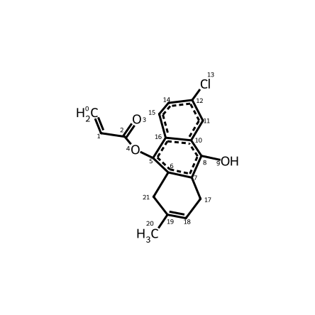 C=CC(=O)Oc1c2c(c(O)c3cc(Cl)ccc13)CC=C(C)C2